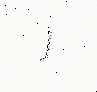 CCOCC[CH]C(O)COCC